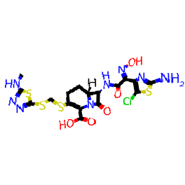 CNc1nnc(SCSC2=C(C(=O)O)N3C(=O)[C@@H](NC(=O)C(=NO)c4nc(N)sc4Cl)[C@H]3CC2)s1